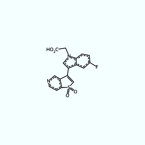 O=C(O)Cn1cc(C2=CS(=O)(=O)c3ccncc32)c2cc(F)ccc21